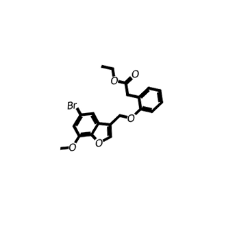 CCOC(=O)Cc1ccccc1OCc1coc2c(OC)cc(Br)cc12